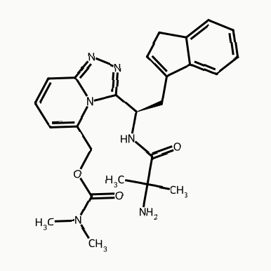 CN(C)C(=O)OCc1cccc2nnc([C@@H](CC3=CCc4ccccc43)NC(=O)C(C)(C)N)n12